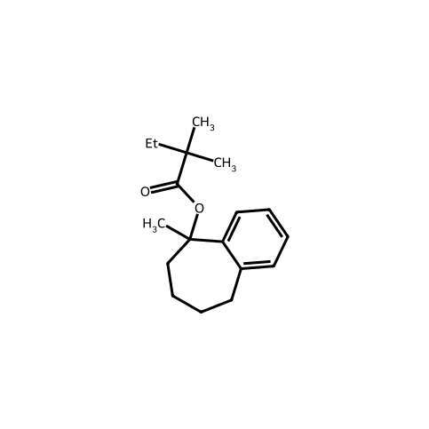 CCC(C)(C)C(=O)OC1(C)CCCCc2ccccc21